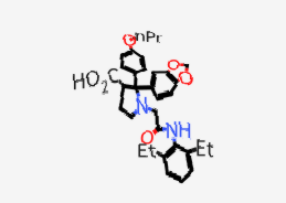 CCCOc1ccc(C2(c3ccc4c(c3)OCO4)C(C(=O)O)CCN2CC(=O)Nc2c(CC)cccc2CC)cc1